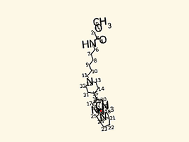 COCC(=O)NCCCCCCN1CCC(c2cnc(N3C4CCC3CN(C)C4)nc2)CC1